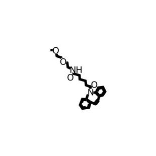 COCCOCCNC(=O)CCCCC(=O)N1Cc2ccccc2C#Cc2ccccc21